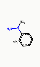 NN(c1ccccc1)[N+](=O)[O-].[AlH3]